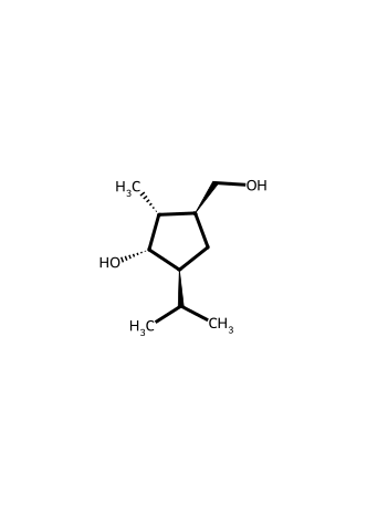 CC(C)[C@@H]1C[C@H](CO)[C@@H](C)[C@H]1O